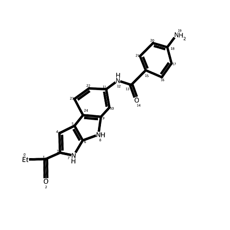 CCC(=O)c1cc2c([nH]1)[nH]c1cc(NC(=O)c3ccc(N)cc3)ccc12